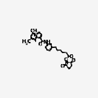 Cc1cc(C)n2ccc(C(=O)Nc3cccc(CCCCCC(=O)ON4C(=O)CCC4=O)c3)c2n1